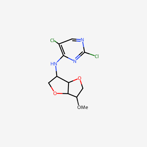 COC1COC2C(Nc3nc(Cl)ncc3Cl)COC12